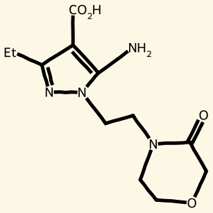 CCc1nn(CCN2CCOCC2=O)c(N)c1C(=O)O